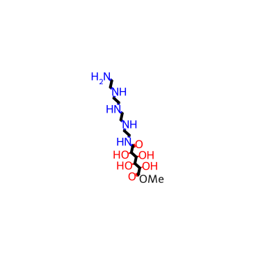 COC(=O)[C@@H](O)[C@@H](O)[C@H](O)[C@@H](O)C(=O)NCCNCCNCCNCCN